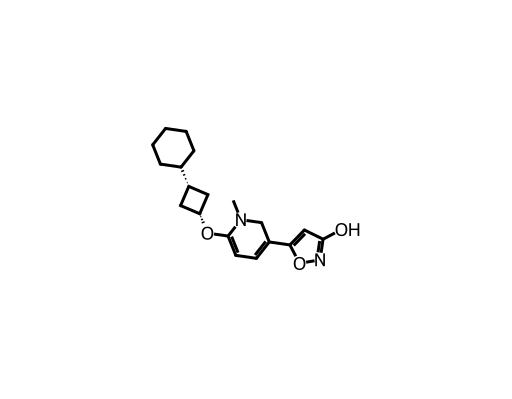 CN1CC(c2cc(O)no2)=CC=C1O[C@H]1C[C@@H](C2CCCCC2)C1